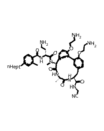 CCCCCCCc1ccc(C(=O)N[C@H](CCN)C(=O)N(C)[C@@H]2C(=O)N[C@@H](C)C(=O)N[C@H](C(=O)NCC#N)Cc3ccc(OCCN)c(c3)-c3cc2ccc3OCCN)c(C)c1